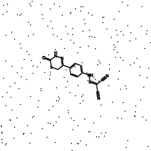 N#CC(C#N)=NNc1ccc(C2=NNC(=O)SC2)cc1